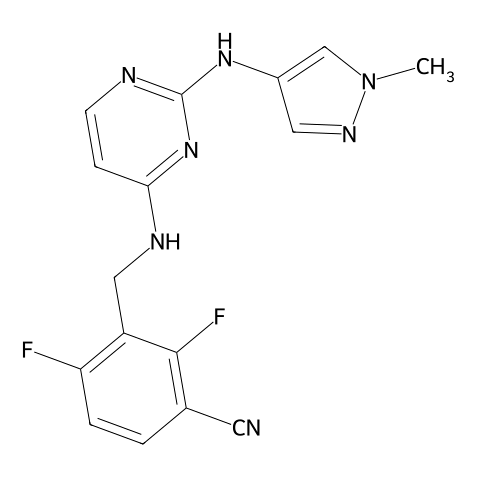 Cn1cc(Nc2nccc(NCc3c(F)ccc(C#N)c3F)n2)cn1